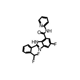 O=C(Nc1ccccn1)c1cc(F)cc2nc(-c3ccccc3C(F)F)[nH]c12